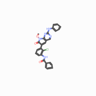 COn1c(=O)c(-c2cccc(NC(=O)c3ccccc3)c2Cl)cc2cnc(Nc3ccccc3)nc21